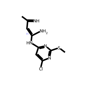 CSc1nc(Cl)cc(N/C(N)=C/C(C)=N)n1